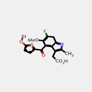 CCOc1ccc(C(=O)C2=C3C(=NC(C)=C3CC(=O)O)CC(F)=C2OC)s1